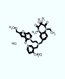 CCN1C(=O)C(C)(C)C(=O)N(C)c2cc(CN(CCn3ccc4oc(COC)cc4c3=O)Cc3cnccc3C)ccc21.Cl.Cl